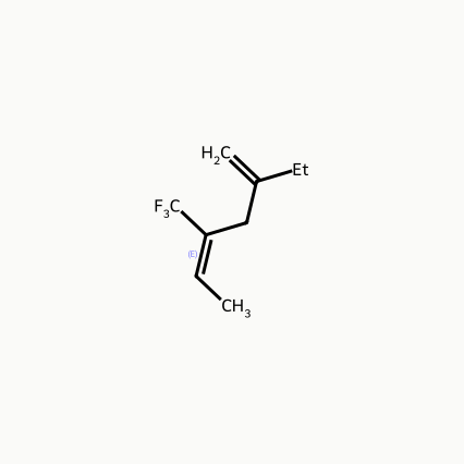 C=C(CC)C/C(=C\C)C(F)(F)F